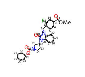 COC(=O)c1ccc(Cn2c(=O)n(C3CCN(C(=O)Oc4ccccc4)C3)c3ccccc32)c(F)c1